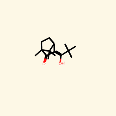 CC(C)(C)C(O)=C1C(=O)C2(C)CCC1C2(C)C